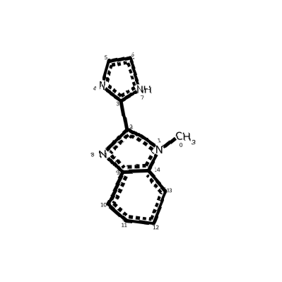 Cn1c(-c2nc[c][nH]2)nc2ccccc21